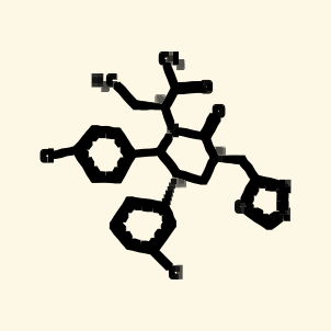 CC[C@@H](C(C)=O)N1C(=O)[C@@H](Cc2nnco2)C[C@H](c2cccc(Cl)c2)C1c1ccc(Cl)cc1